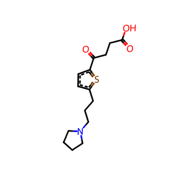 O=C(O)CCC(=O)c1ccc(CCCN2CCCC2)s1